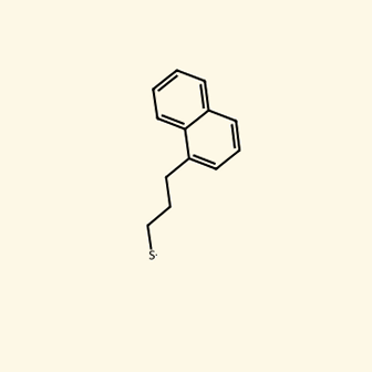 [S]CCCc1cccc2ccccc12